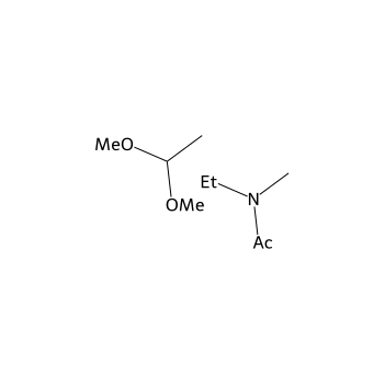 CCN(C)C(C)=O.COC(C)OC